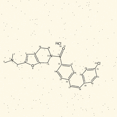 CN(C)Cc1cc2c(o1)CN(C(=O)c1ccc(/C=C\c3ccc(Cl)cc3)cc1)CC2.Cl